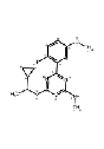 CNc1nc(NC(C)C2CC2)nc(-c2cc(OC)ccc2F)n1